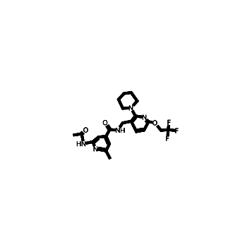 CC(=O)Nc1cc(C(=O)NCc2ccc(OCC(F)(F)F)nc2N2CCCCC2)cc(C)n1